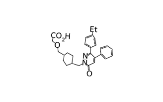 CCc1ccc(-c2nn(CC3CCC(COCC(=O)O)CC3)c(=O)cc2-c2ccccc2)cc1